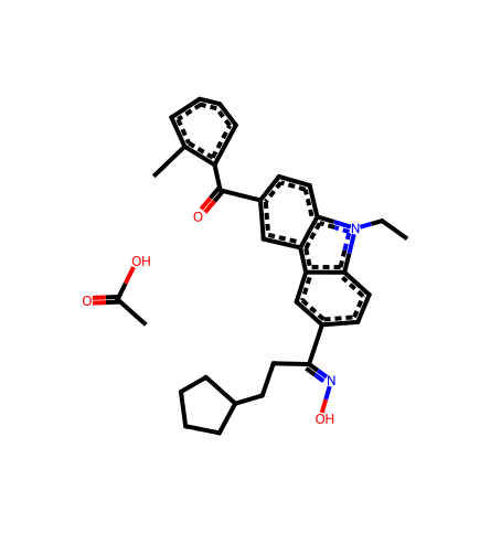 CC(=O)O.CCn1c2ccc(C(=O)c3ccccc3C)cc2c2cc(C(CCC3CCCC3)=NO)ccc21